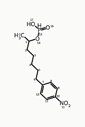 CC(CCCCCc1ccc([N+](=O)[O-])cc1)O[PH](=O)O